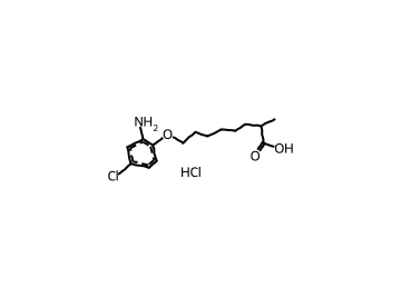 CC(CCCCCCOc1ccc(Cl)cc1N)C(=O)O.Cl